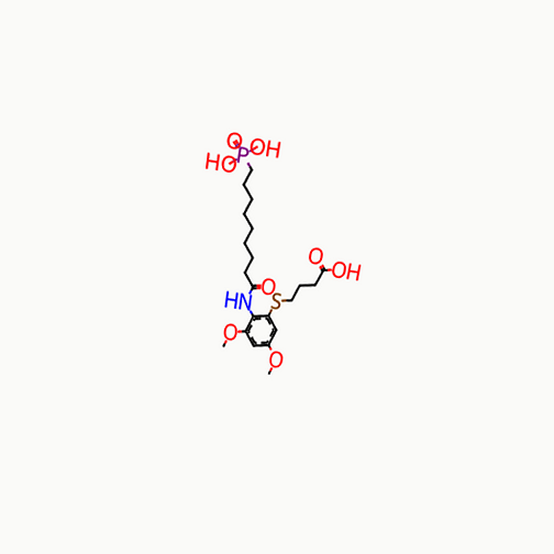 COc1cc(OC)c(NC(=O)CCCCCCCCP(=O)(O)O)c(SCCCC(=O)O)c1